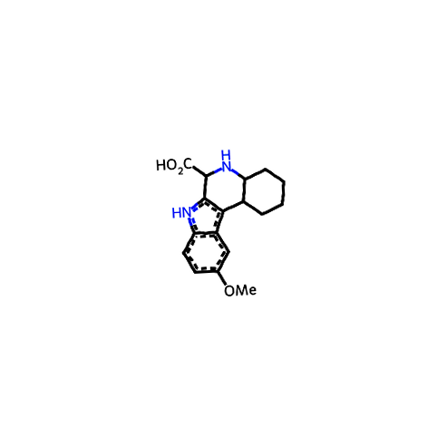 COc1ccc2[nH]c3c(c2c1)C1CCCCC1NC3C(=O)O